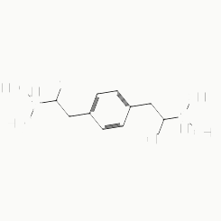 C[SiH](C)C(Cl)Cc1ccc(CC(Cl)[SiH](C)C)cc1